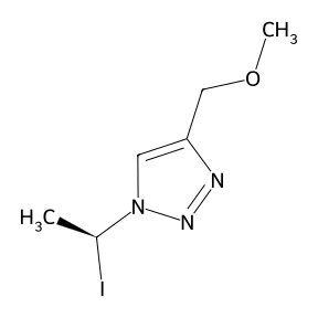 COCc1cn([C@H](C)I)nn1